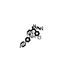 CN(C)CCn1ncc(-c2ccnc(Nc3ccc(N4CCN(C)CC4)cc3)n2)c1-c1ccc(Cl)cc1